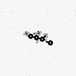 COc1cc(-c2ccc(OS(C)(=O)=O)cc2)c(OC)c(OS(C)(=O)=O)c1-c1ccc(OCc2ccccc2)c(C(=O)O)c1